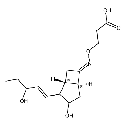 CCC(O)C=CC1C(O)C[C@@H]2C(=NOCCC(=O)O)C[C@@H]12